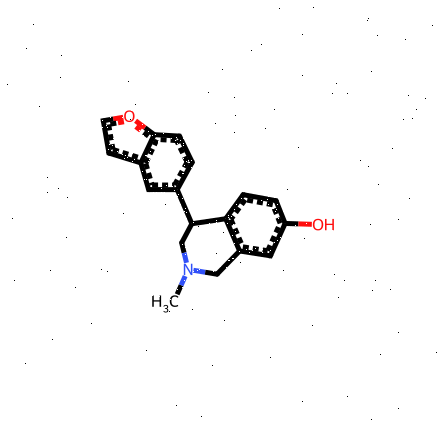 CN1Cc2cc(O)ccc2C(c2ccc3occc3c2)C1